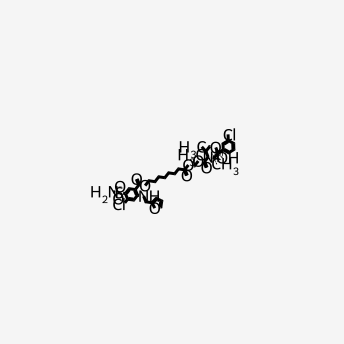 C[C@@H]1N(C(=O)OCOC(=O)CCCCCCCOC(=O)c2cc(S(N)(=O)=O)c(Cl)cc2NCc2ccco2)C(C)(C)CO[C@@]1(O)c1cccc(Cl)c1